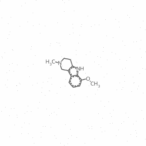 COc1cccc2c3c([nH]c12)CCN(C)C3